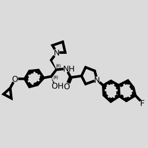 O=C(N[C@H](CN1CCC1)[C@H](O)c1ccc(OC2CC2)cc1)C1CCN(c2ccc3cc(F)ccc3c2)C1